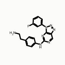 NCCc1ccc(Nc2ncc3nnn(-c4cccc(F)c4)c3n2)cc1